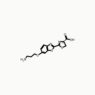 NCCCOc1ccc2nc(C3=N[C@@H](C(=O)O)CS3)sc2c1